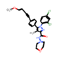 Cc1c(C(=O)NN2CCOCC2)nn(-c2ccc(Cl)cc2Cl)c1-c1ccc(C#CCCO[N+](=O)[O-])cc1